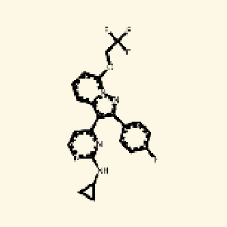 Fc1ccc(-c2nn3c(OCC(F)(F)F)cccc3c2-c2ccnc(NC3CC3)n2)cc1